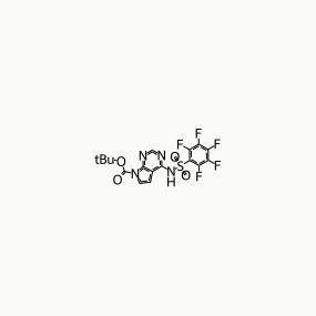 CC(C)(C)OC(=O)n1ccc2c(NS(=O)(=O)c3c(F)c(F)c(F)c(F)c3F)ncnc21